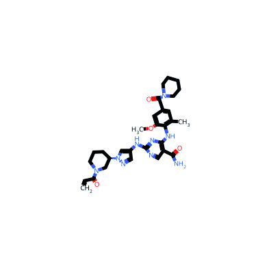 C=CC(=O)N1CCC[C@@H](n2cc(Nc3ncc(C(N)=O)c(Nc4c(C)cc(C(=O)N5CCCCC5)cc4OC)n3)cn2)C1